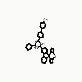 N#Cc1ccc(-c2ccc(C3=NC(c4ccccc4)NC(c4ccc5c(c4)-c4ccccc4C54c5ccccc5Sc5ccccc54)N3)cc2)cc1